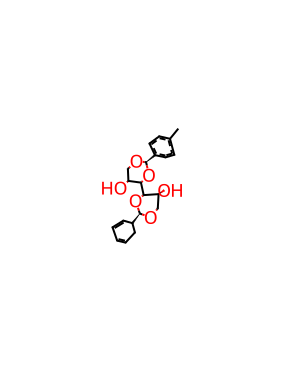 Cc1ccc([C@@H]2OC[C@H](O)C(C3O[C@H](C4C=CC=CC4)OC[C@@H]3O)O2)cc1